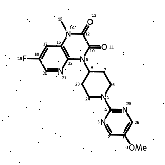 COc1cnc(N2CCC(n3c(=O)c(=O)n(C)c4cc(F)cnc43)CC2)nc1